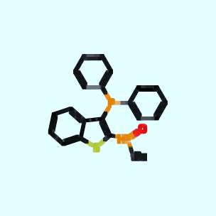 CC(C)(C)[PH](=O)c1sc2ccccc2c1P(c1ccccc1)c1ccccc1